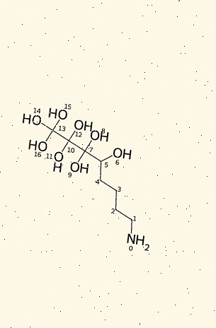 NCCCCC(O)C(O)(O)C(O)(O)C(O)(O)O